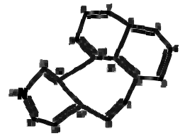 C1=Cc2cccc3cccc(c23)-c2cnccc21